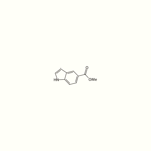 COC(=O)c1ccc2[nH]c[c]c2c1